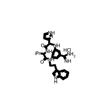 CC(C)C(NC(=O)C(Nc1cccc(C(=N)N)c1)c1cc[nH]n1)C(=O)NCCc1c[nH]c2ccccc12.Cl